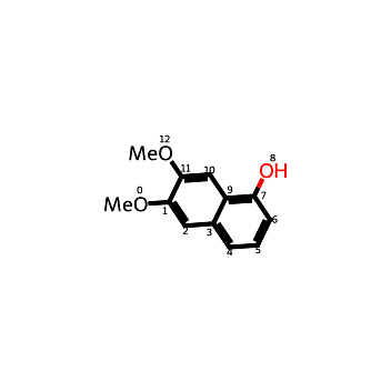 COc1cc2cccc(O)c2cc1OC